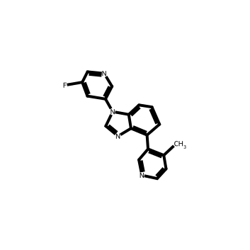 Cc1ccncc1-c1cccc2c1ncn2-c1cncc(F)c1